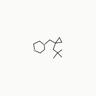 CC(C)(C)CC1(CN2CCOCC2)CC1